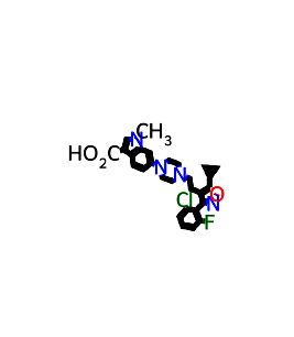 Cn1cc(C(=O)O)c2ccc(N3CCN(CCc4c(-c5c(F)cccc5Cl)noc4C4CC4)CC3)cc21